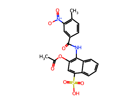 CC(=O)Oc1cc(S(=O)(=O)O)c2ccccc2c1NC(=O)c1ccc(C)c([N+](=O)[O-])c1